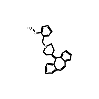 COc1ccccc1CN1CCC(=C2c3ccccc3C=Cc3ccccc32)CC1